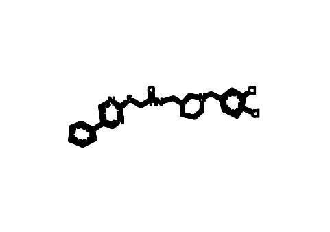 O=C(CSc1ncc(-c2ccccc2)cn1)NCC1CCCN(Cc2ccc(Cl)c(Cl)c2)C1